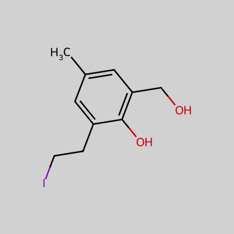 Cc1cc(CO)c(O)c(CCI)c1